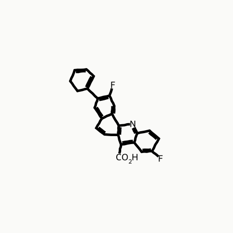 O=C(O)c1c2cc(F)ccc2nc2c1ccc1cc(C3=CC=CCC3)c(F)cc12